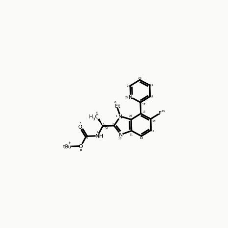 CCn1c([C@H](C)NC(=O)OC(C)(C)C)nc2ccc(F)c(-c3ccccn3)c21